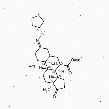 COC(=O)[C@@H]1CC2CC(=NO[C@@H]3CCNC3)CC[C@]2(C)[C@H]2CC[C@]3(C)C(=O)CC[C@H]3[C@H]12.Cl